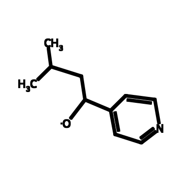 CC(C)CC([O])c1ccncc1